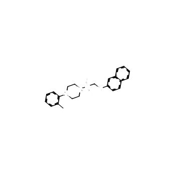 Cc1ccccc1N1CCN(S(=O)(=O)CSc2ccc3ccccc3c2)CC1